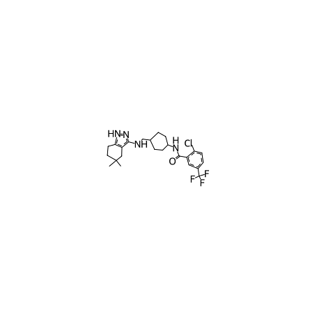 CC1(C)CCc2[nH]nc(NCC3CCC(NC(=O)c4cc(C(F)(F)F)ccc4Cl)CC3)c2C1